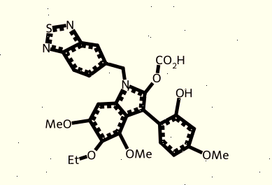 CCOc1c(OC)cc2c(c1OC)c(-c1ccc(OC)cc1O)c(OC(=O)O)n2Cc1ccc2nsnc2c1